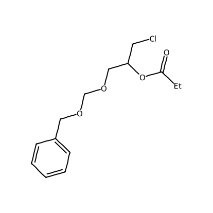 CCC(=O)OC(CCl)COCOCc1ccccc1